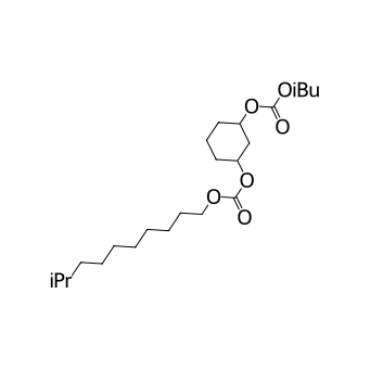 CC(C)CCCCCCCCOC(=O)OC1CCCC(OC(=O)OCC(C)C)C1